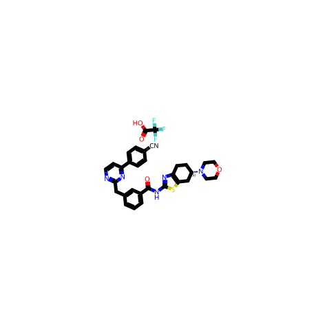 N#Cc1ccc(-c2ccnc(Cc3cccc(C(=O)Nc4nc5c(s4)C[C@@H](N4CCOCC4)CC5)c3)n2)cc1.O=C(O)C(F)(F)F